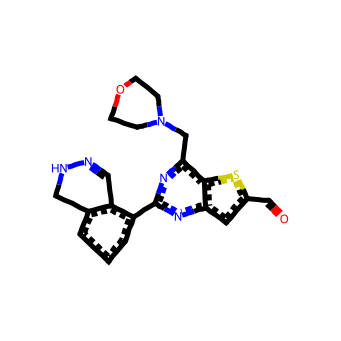 O=Cc1cc2nc(-c3cccc4c3C=NNC4)nc(CN3CCOCC3)c2s1